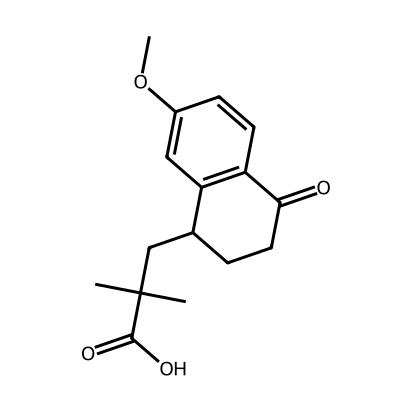 COc1ccc2c(c1)C(CC(C)(C)C(=O)O)CCC2=O